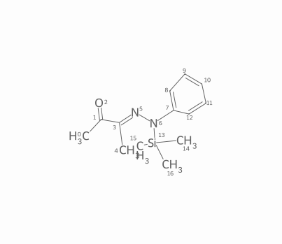 CC(=O)C(C)=NN(c1ccccc1)[Si](C)(C)C